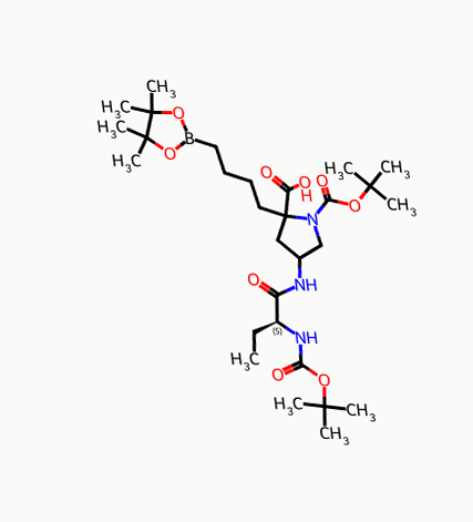 CC[C@H](NC(=O)OC(C)(C)C)C(=O)NC1CN(C(=O)OC(C)(C)C)C(CCCCB2OC(C)(C)C(C)(C)O2)(C(=O)O)C1